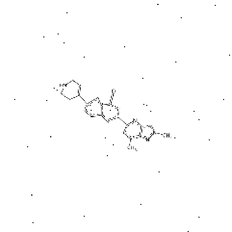 Cc1cc(-c2cc(=O)n3cc(C4=CCNCC4)ccc3n2)nc2cn(C)nc12